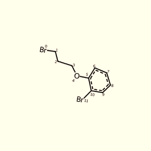 BrCCCOc1ccccc1Br